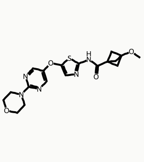 COC12CC(C(=O)Nc3ncc(Oc4cnc(N5CCOCC5)nc4)s3)(C1)C2